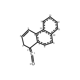 O=C=C1CC=Cc2c1ccc1ccccc21